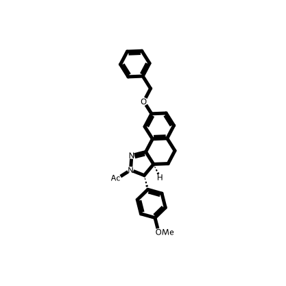 COc1ccc([C@H]2[C@@H]3CCc4ccc(OCc5ccccc5)cc4C3=NN2C(C)=O)cc1